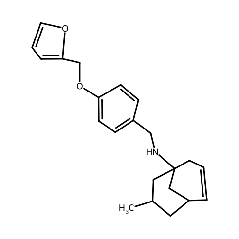 CC1CC2C=CCC(NCc3ccc(OCc4ccco4)cc3)(C1)C2